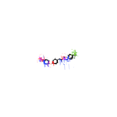 NC(Cc1ccc(Oc2ccc([N+](=O)[O-])cn2)cc1)C(=O)Nc1ccc(C(F)(F)F)cc1